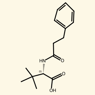 CC(C)(C)[C@H](NC(=O)CCc1ccccc1)C(=O)O